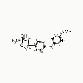 CNc1ncc(Cc2ccc(C3=NOC(O)(C(F)(F)F)C3)cc2)cn1